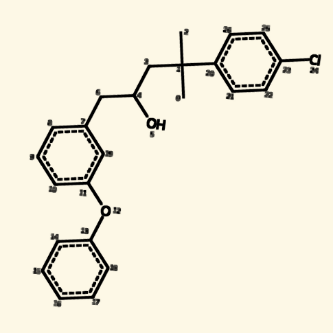 CC(C)(CC(O)Cc1cccc(Oc2ccccc2)c1)c1ccc(Cl)cc1